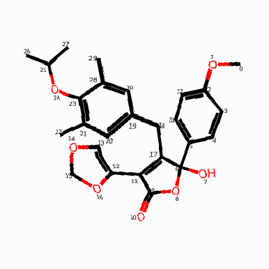 COc1ccc(C2(O)OC(=O)C(C3=COCO3)=C2Cc2cc(C)c(OC(C)C)c(C)c2)cc1